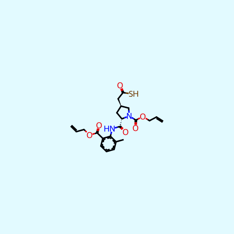 C=CCOC(=O)c1cccc(C)c1NC(=O)[C@@H]1C[C@@H](CC(=O)S)CN1C(=O)OCC=C